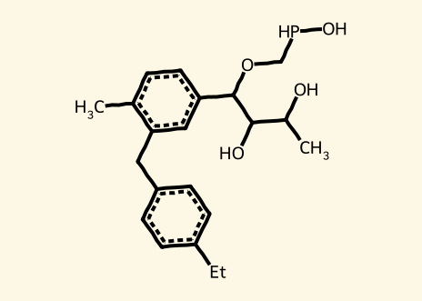 CCc1ccc(Cc2cc(C(OCPO)C(O)C(C)O)ccc2C)cc1